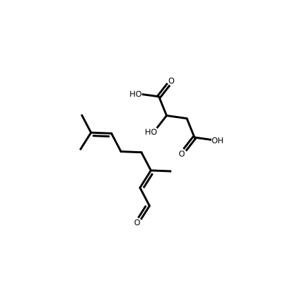 CC(C)=CCCC(C)=CC=O.O=C(O)CC(O)C(=O)O